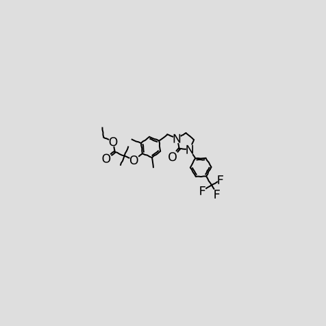 CCOC(=O)C(C)(C)Oc1c(C)cc(CN2CCN(c3ccc(C(F)(F)F)cc3)C2=O)cc1C